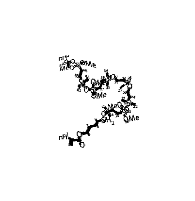 C=C(CCC)C(=O)OCCCC[SiH2]O[Si](C)(C)CC[Si](OC)(OC)O[Si](C)(C)CCO[Si](C)(C)CCO[Si](C)(C)CC[Si](OC)(OC)O[Si](C)(C)CC[Si](OC)(OC)O[Si](C)(C)CCC